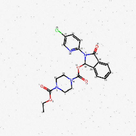 CCOC(=O)N1CCN(C(=O)OC2c3ccccc3C(=O)N2c2ccc(Cl)cn2)CC1